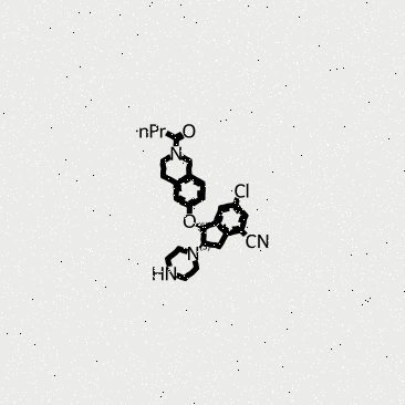 CC[CH]C(=O)N1CCc2cc(O[C@H]3c4cc(Cl)cc(C#N)c4C[C@@H]3N3CCNCC3)ccc2C1